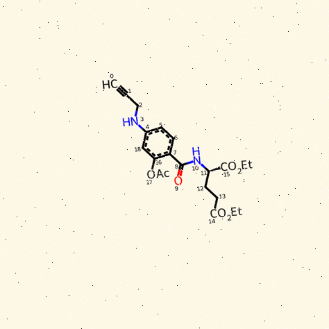 C#CCNc1ccc(C(=O)N[C@H](CCC(=O)OCC)C(=O)OCC)c(OC(C)=O)c1